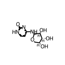 O=c1nc(N[C@@H]2OC[C@@H](O)[C@@H](O)[C@H]2O)cc[nH]1